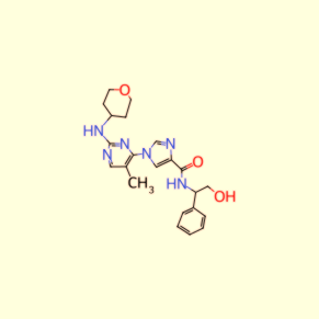 Cc1cnc(NC2CCOCC2)nc1-n1cnc(C(=O)NC(CO)c2ccccc2)c1